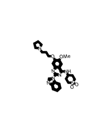 COc1cc2c(NC3CCS(=O)(=O)CC3)nc(-n3cnc4ccccc43)nc2cc1OCCCN1CCCC1